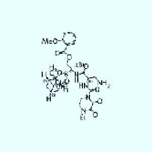 CCN1CCN(C(=O)N[C@H](CN)C(=O)N[C@](COC(=O)c2ccccc2OC)(B2O[C@@H]3C[C@@H]4C[C@@H](C4(C)C)[C@]3(C)O2)C(C)(C)C)C(=O)C1=O